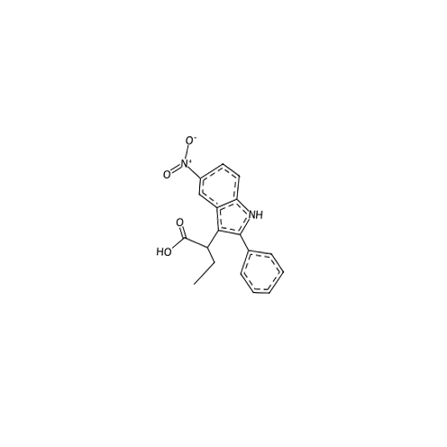 CCC(C(=O)O)c1c(-c2ccccc2)[nH]c2ccc([N+](=O)[O-])cc12